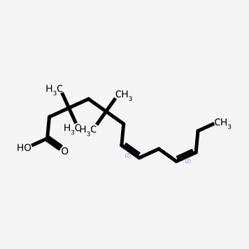 CC/C=C\C/C=C\CC(C)(C)CC(C)(C)CC(=O)O